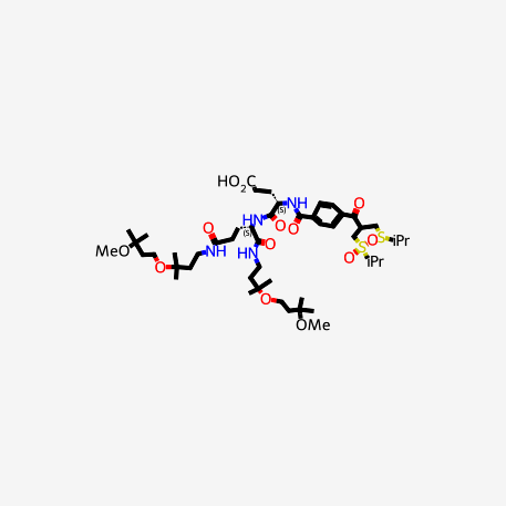 COC(C)(C)CCOC(C)(C)CCNC(=O)CC[C@H](NC(=O)[C@H](CCC(=O)O)NC(=O)c1ccc(C(=O)C(CSC(C)C)CS(=O)(=O)C(C)C)cc1)C(=O)NCCC(C)(C)OCCC(C)(C)OC